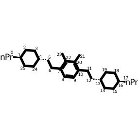 CCC[C@H]1CC[C@H](CCc2ccc(CC[C@H]3CC[C@H](CCC)CC3)c(C)c2C)CC1